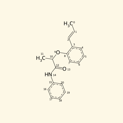 CC=Cc1ccccc1OC(C)C(=O)Nc1ccccc1